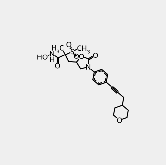 CC(CC1CN(c2ccc(C#CCC3CCOCC3)cc2)C(=O)O1)(C(=O)NO)S(C)(=O)=O